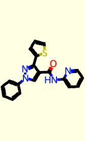 O=C(Nc1ccccn1)c1cn(-c2ccccc2)nc1-c1cccs1